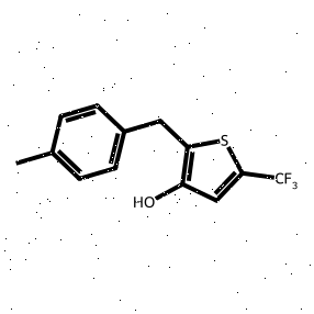 Cc1ccc(Cc2sc(C(F)(F)F)cc2O)cc1